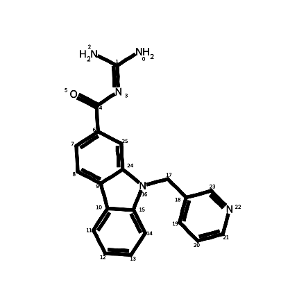 NC(N)=NC(=O)c1ccc2c3ccccc3n(Cc3cccnc3)c2c1